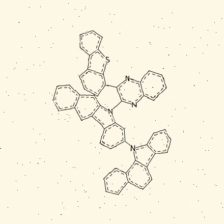 c1ccc2cc3c(cc2c1)c1ccc(-n2c4ccccc4c4ccc5ccccc5c42)cc1n3-c1nc2ccccc2nc1-c1cccc2c1sc1ccccc12